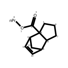 CCCOC(=O)C12CCCC1C1C=CC2C1